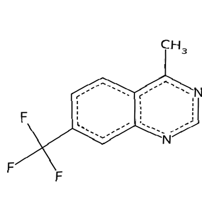 Cc1ncnc2cc(C(F)(F)F)ccc12